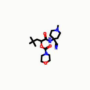 CN1CCC(C#N)(NC(=O)C(CC(C)(C)C)OC(=O)N2CCOCC2)CC1